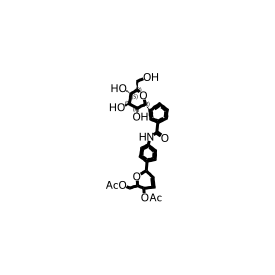 CC(=O)OCC1OC(c2ccc(NC(=O)c3cccc([C@H]4O[C@H](CO)[C@@H](O)[C@H](O)[C@H]4O)c3)cc2)C=CC1OC(C)=O